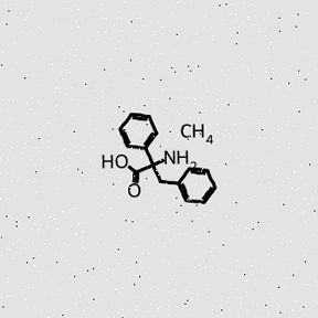 C.NC(Cc1ccccc1)(C(=O)O)c1ccccc1